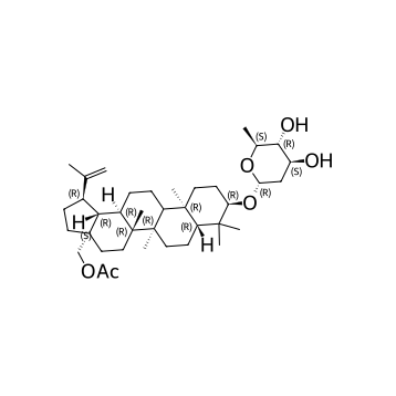 C=C(C)[C@@H]1CC[C@]2(COC(C)=O)CC[C@]3(C)[C@H](CCC4[C@@]5(C)CC[C@@H](O[C@H]6C[C@H](O)[C@@H](O)[C@H](C)O6)C(C)(C)[C@@H]5CC[C@]43C)[C@@H]12